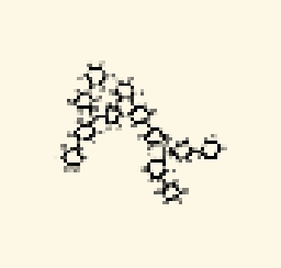 c1ccc(-c2ccc(N(c3ccc(-c4ccc(-c5ccccc5-c5cccc(N(c6ccc(-c7ccccc7)cc6)c6cccc(-c7ccccc7)c6)c5)cc4)cc3)c3cccc(-c4ccccc4)c3)cc2)cc1